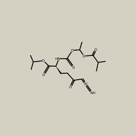 CC(C)OC(=O)[C@H](CCC(=O)C=[N+]=N)NC(=O)OC(C)OC(=O)C(C)C